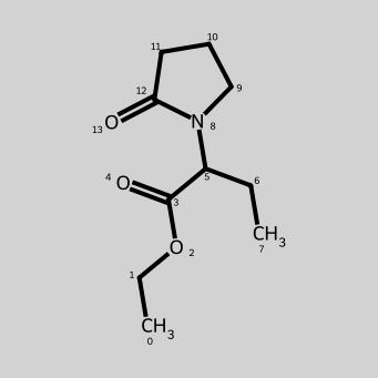 CCOC(=O)C(CC)N1CCCC1=O